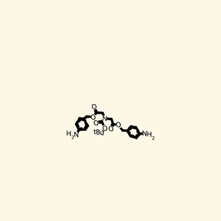 CC(C)(C)OC(=O)N(CC(=O)OCc1ccc(N)cc1)CC(=O)OCc1ccc(N)cc1